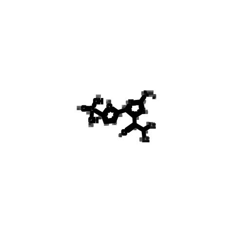 CCC(CC)C(=O)c1sc(N)nc1-c1ccc(P(=O)(O)O)o1